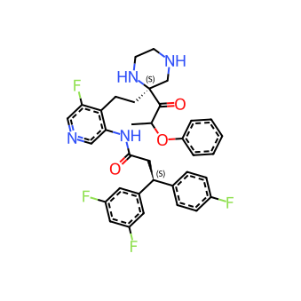 CC(Oc1ccccc1)C(=O)[C@]1(CCc2c(F)cncc2NC(=O)C[C@@H](c2ccc(F)cc2)c2cc(F)cc(F)c2)CNCCN1